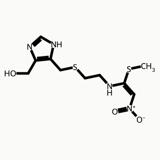 CS/C(=C/[N+](=O)[O-])NCCSCc1[nH]cnc1CO